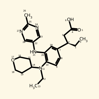 CC[C@H](CC(=O)O)c1ccc(N(CC)C2CCOCC2)c(Nc2cnc(C)nc2)c1